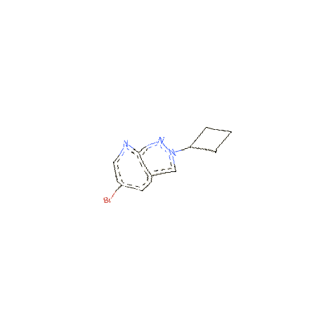 Brc1cnc2nn(C3CCC3)cc2c1